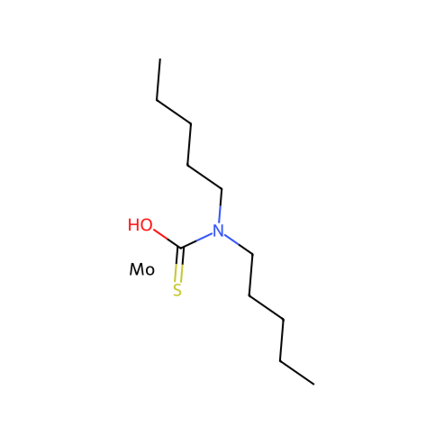 CCCCCN(CCCCC)C(O)=S.[Mo]